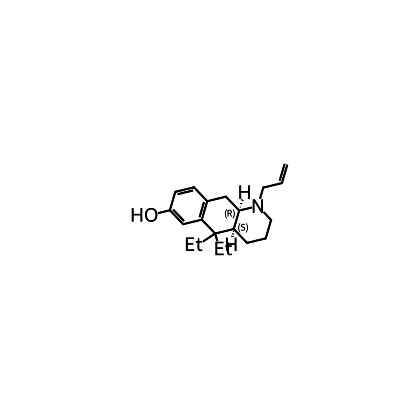 C=CCN1CCC[C@@H]2[C@H]1Cc1ccc(O)cc1C2(CC)CC